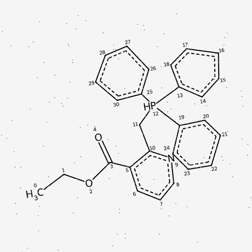 CCOC(=O)c1cccnc1C[PH](c1ccccc1)(c1ccccc1)c1ccccc1